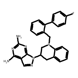 Nc1nc(N)c2cnn(C3Cc4ccccc4N(Cc4ccccc4-c4ccc(F)cc4)C3)c2n1